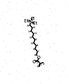 C=C(C)C(=O)OCCCCCCCCCCC[Si](Cl)(CC)CC